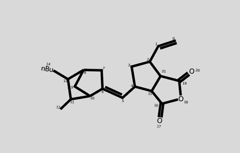 C=CC1CC(/C=C2\CC3CC2C(C)C3CCCC)C2C(=O)OC(=O)C12